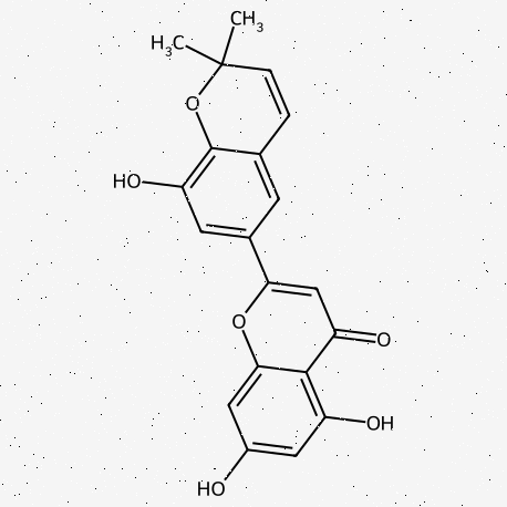 CC1(C)C=Cc2cc(-c3cc(=O)c4c(O)cc(O)cc4o3)cc(O)c2O1